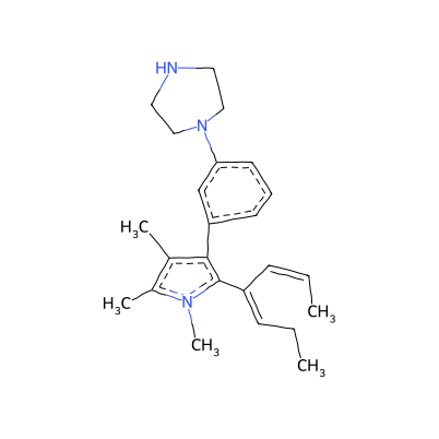 C/C=C\C(=C/CC)c1c(-c2cccc(N3CCNCC3)c2)c(C)c(C)n1C